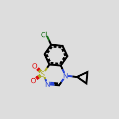 O=S1(=O)N=CN(C2CC2)c2ccc(Cl)cc21